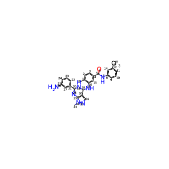 Cc1ccc(C(=O)Nc2cccc(C(F)(F)F)c2)cc1NC1NC(c2cccc(N)c2)=Nc2c1cnn2C